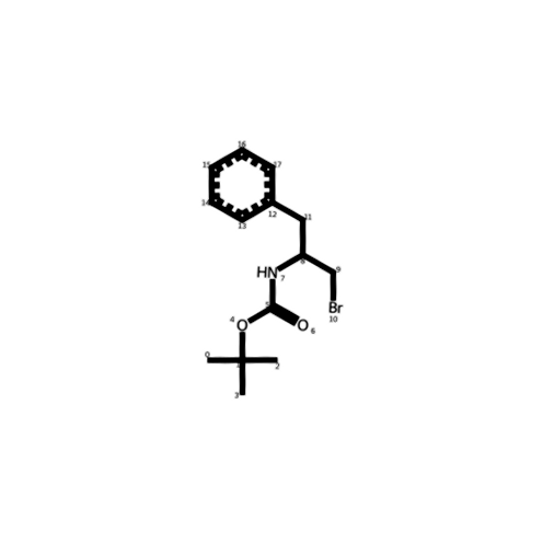 CC(C)(C)OC(=O)NC(CBr)Cc1ccccc1